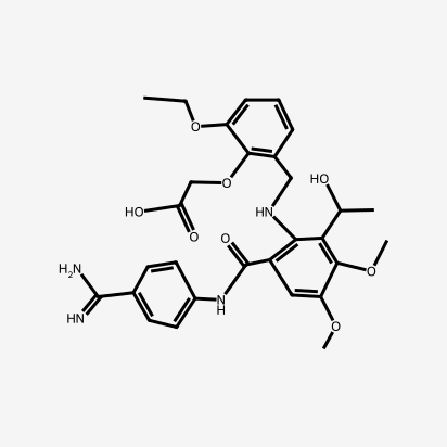 CCOc1cccc(CNc2c(C(=O)Nc3ccc(C(=N)N)cc3)cc(OC)c(OC)c2C(C)O)c1OCC(=O)O